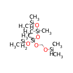 C[SiH2]O[Si@@](C)(OCO[SiH](C)C)O[Si](C)(C)O[SiH](C)C